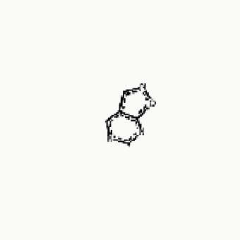 [c]1ncc2cnoc2n1